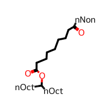 CCCCCCCCCC(=O)CCCCCCCC(=O)OC(CCCCCCCC)CCCCCCCC